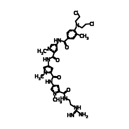 Cc1cc(C(=O)Nc2cc(C(=O)Nc3cc(C(=O)Nc4cc(C(=O)NCCNC(=N)N)n(C)c4)n(C)c3)n(C)c2)ccc1N(CCCl)CCCl